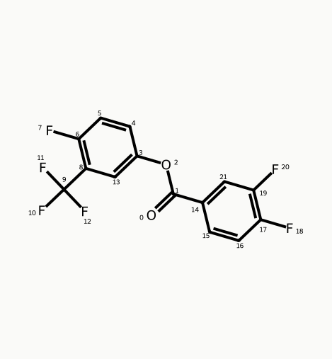 O=C(Oc1ccc(F)c(C(F)(F)F)c1)c1ccc(F)c(F)c1